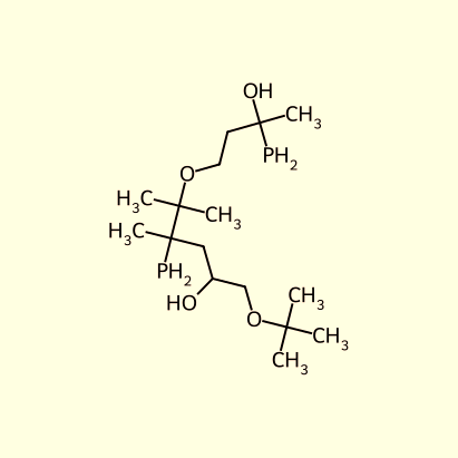 CC(O)(P)CCOC(C)(C)C(C)(P)CC(O)COC(C)(C)C